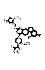 C=C(F)C(=O)N1CCN(c2nc(OC[C@@H]3C[C@@H](F)CN3C)nc3c2CCC2(CCc4cc(F)cc(F)c42)C3)C[C@@H]1CC#N